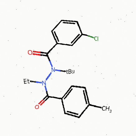 CCN(C(=O)c1ccc(C)cc1)N(C(=O)c1cccc(Cl)c1)C(C)(C)C